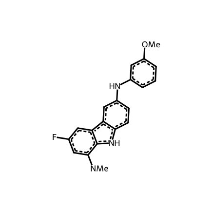 CNc1cc(F)cc2c1[nH]c1ccc(Nc3cccc(OC)c3)cc12